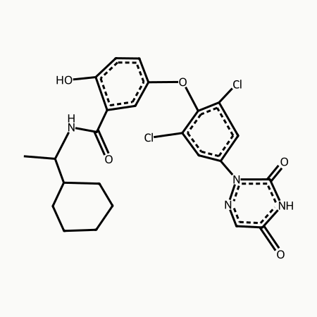 CC(NC(=O)c1cc(Oc2c(Cl)cc(-n3ncc(=O)[nH]c3=O)cc2Cl)ccc1O)C1CCCCC1